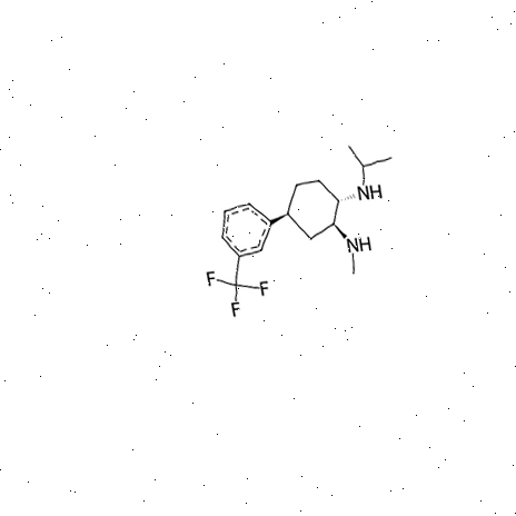 CN[C@H]1C[C@@H](c2cccc(C(F)(F)F)c2)CC[C@@H]1NC(C)C